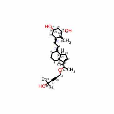 C=C1/C(=C\C=C2/CCC[C@]3(C)C(C(C)OCC#CC(O)(CC)CC)=CC[C@@H]23)C[C@@H](O)C[C@@H]1O